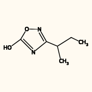 CCC(C)c1noc(O)n1